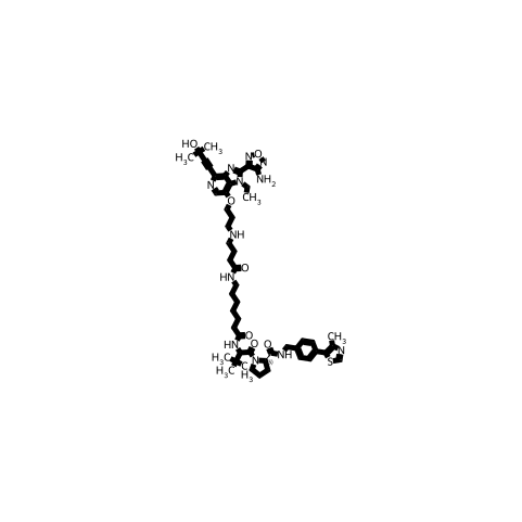 CCn1c(-c2nonc2N)nc2c(C#CC(C)(C)O)ncc(OCCCNCCCC(=O)NCCCCCCC(=O)NC(C(=O)N3CCC[C@H]3C(=O)NCc3ccc(-c4scnc4C)cc3)C(C)(C)C)c21